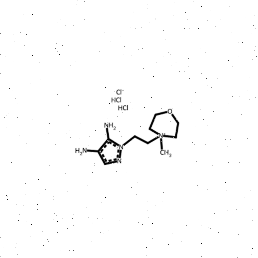 C[N+]1(CCn2ncc(N)c2N)CCOCC1.Cl.Cl.[Cl-]